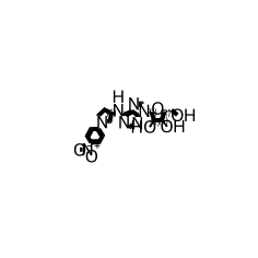 O=[N+]([O-])c1ccc(N2CC[C@H](Nc3ncnc4c3ncn4[C@@H]3O[C@H](CO)[C@@H](O)[C@H]3O)C2)cc1